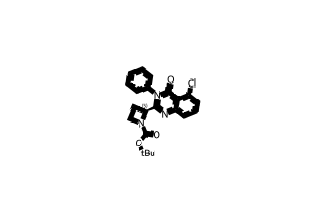 CC(C)(C)OC(=O)N1CC[C@H]1c1nc2cccc(Cl)c2c(=O)n1-c1ccccc1